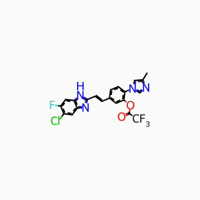 Cc1cn(-c2ccc(C=Cc3nc4cc(Cl)c(F)cc4[nH]3)cc2OC(=O)C(F)(F)F)cn1